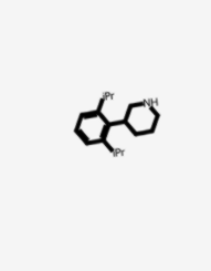 CC(C)c1cccc(C(C)C)c1C1CCCNC1